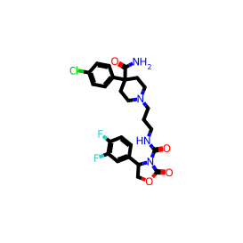 NC(=O)C1(c2ccc(Cl)cc2)CCN(CCCNC(=O)N2C(=O)OCC2c2ccc(F)c(F)c2)CC1